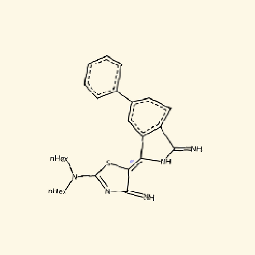 CCCCCCN(CCCCCC)C1=NC(=N)/C(=C2\NC(=N)c3ccc(-c4ccccc4)cc32)S1